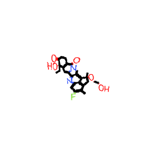 CC[C@@]1(O)C(=O)CCc2c1cc1n(c2=O)Cc2c-1nc1cc(F)c(C)c3c1c2C(C)(OCCO)C3